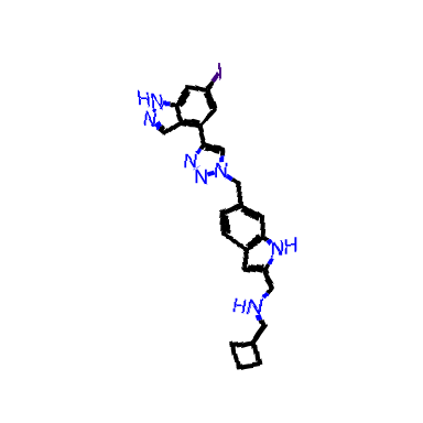 Ic1cc(-c2cn(Cc3ccc4cc(CNCC5CCC5)[nH]c4c3)nn2)c2cn[nH]c2c1